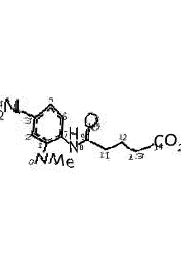 CNc1cc([N+](=O)[O-])ccc1NC(=O)CCCC(=O)O